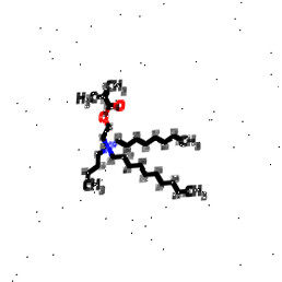 C=C(C)C(=O)OCC[N+](CCCC)(CCCCCCCC)CCCCCCCCCC